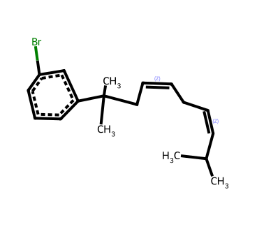 CC(C)/C=C\C/C=C\CC(C)(C)c1cccc(Br)c1